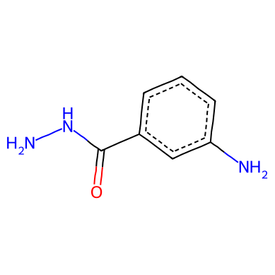 NNC(=O)c1cccc(N)c1